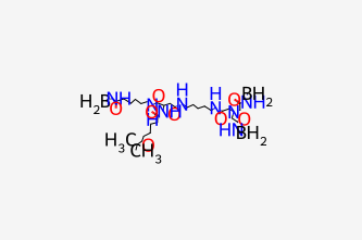 BNC(=O)CCCCCNC(=O)C(CC(=O)NCCCCCNC(=O)CN(CC(=O)NB)CC(=O)NB)NC(=O)CCCCC(=O)C(C)C